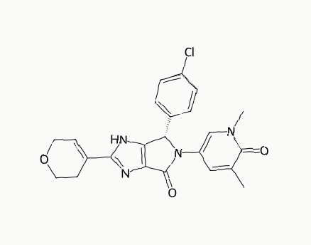 Cc1cc(N2C(=O)c3nc(C4=CCOCC4)[nH]c3[C@@H]2c2ccc(Cl)cc2)cn(C)c1=O